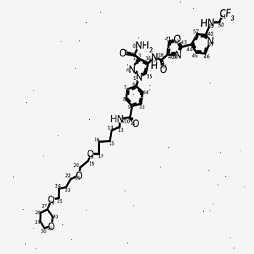 NC(=O)c1nn(-c2ccc(C(=O)NCCCCCOCCOCCCCOC3CCCOC3)cc2)cc1NC(=O)c1coc(-c2ccnc(NCC(F)(F)F)c2)n1